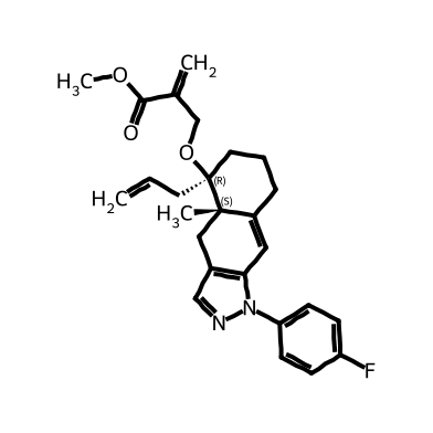 C=CC[C@]1(OCC(=C)C(=O)OC)CCCC2=Cc3c(cnn3-c3ccc(F)cc3)C[C@@]21C